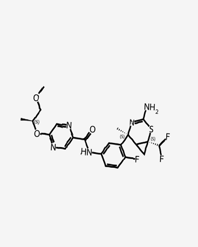 COC[C@H](C)Oc1cnc(C(=O)Nc2ccc(F)c([C@@]3(C)N=C(N)S[C@@]4(C(F)F)CC43)c2)cn1